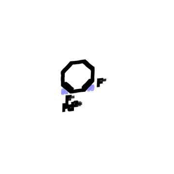 C1=C\CCCC\C=C/1.[F-].[F-].[Pd+2]